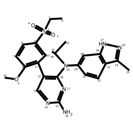 CCS(=O)(=O)c1ccc(OC)c(-c2cnc(N)nc2N(c2ccc3c(C)n[nH]c3c2)C(C)C)c1